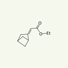 CCOC(=O)C=C1CC2CC1C2